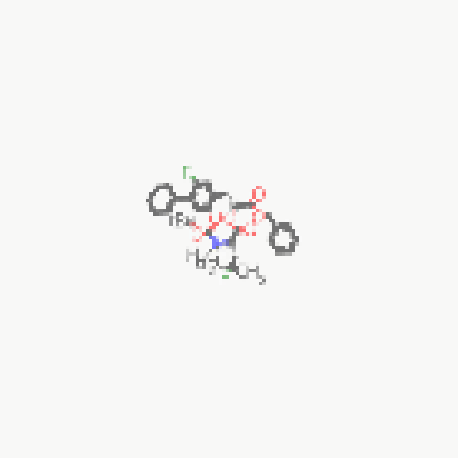 CN(C(=O)OC(C)(C)C)[C@@H](CC(C)(C)F)C(=O)O[C@H](Cc1ccc(C2=CCCCC2)c(F)c1)C(=O)OCc1ccccc1